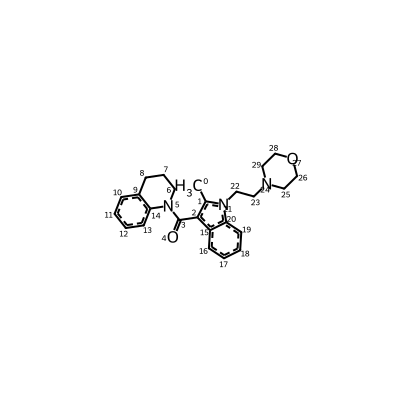 Cc1c(C(=O)N2CCCc3ccccc32)c2ccccc2n1CCN1CCOCC1